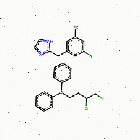 CCc1cc(F)cc(Cc2ncc[nH]2)c1.FCC(Cl)CCB(c1ccccc1)c1ccccc1